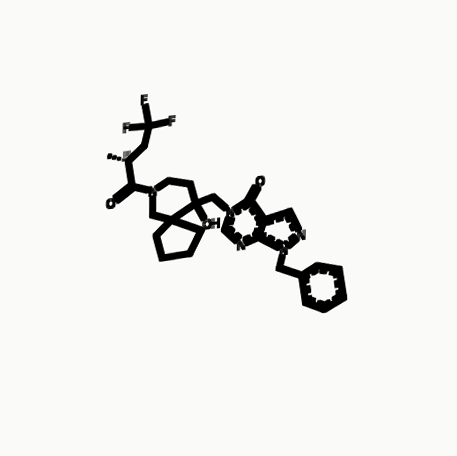 C[C@H](CC(F)(F)F)C(=O)N1CCC(O)(Cn2cnc3c(cnn3Cc3ccccc3)c2=O)C2(CCCC2)C1